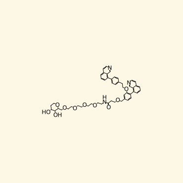 O=C(CCOCc1ccc(-c2cccc3ccncc23)c(OCCc2ccc(-c3cccc4ccncc34)cc2)c1)NCCOCCOCCOCCOCC1OCCC(O)C1O